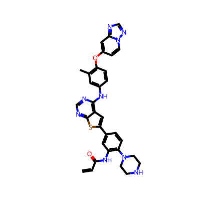 C=CC(=O)Nc1cc(-c2cc3c(Nc4ccc(Oc5ccn6ncnc6c5)c(C)c4)ncnc3s2)ccc1N1CCNCC1